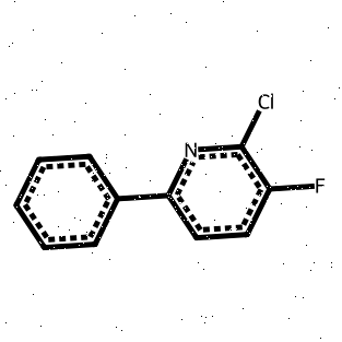 Fc1ccc(-c2ccccc2)nc1Cl